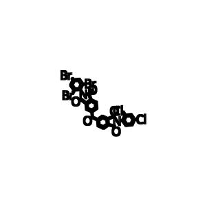 O=C(c1ccc2c(c1)C(=O)N(c1ccc(Cl)cc1Cl)C2=O)c1ccc2c(c1)C(=O)N(c1c(Br)cc(Br)cc1Br)C2=O